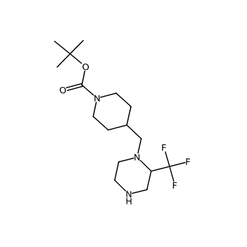 CC(C)(C)OC(=O)N1CCC(CN2CCNCC2C(F)(F)F)CC1